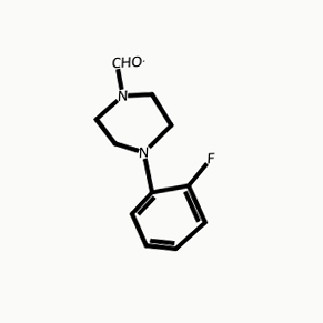 O=[C]N1CCN(c2ccccc2F)CC1